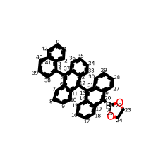 c1ccc2c(-c3c4ccccc4c(-c4c5ccccc5c(B5OCCO5)c5ccccc45)c4ccccc34)cccc2c1